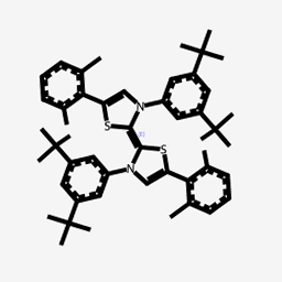 Cc1cccc(C)c1C1=CN(c2cc(C(C)(C)C)cc(C(C)(C)C)c2)/C(=C2\SC(c3c(C)cccc3C)=CN2c2cc(C(C)(C)C)cc(C(C)(C)C)c2)S1